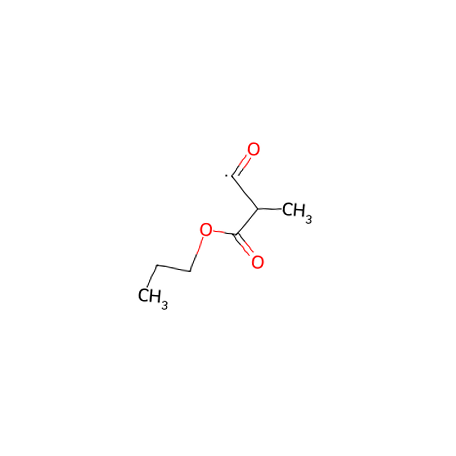 CCCOC(=O)C(C)[C]=O